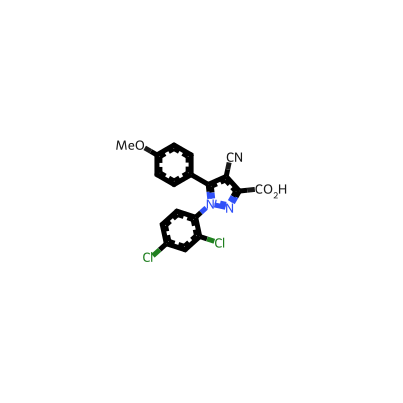 COc1ccc(-c2c(C#N)c(C(=O)O)nn2-c2ccc(Cl)cc2Cl)cc1